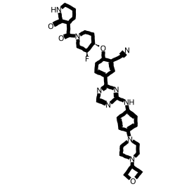 N#CC1=CC(c2ncnc(Nc3ccc(N4CCN(C5COC5)CC4)cc3)n2)=CCC1O[C@H]1CCN(C(=O)C2CCCNC2=O)C[C@H]1F